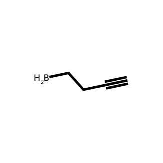 BCCC#C